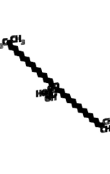 CC(C)CCCCCCCCCCCCCCCOCCCCCCCCCCCCCCCC(C)C.O=P(O)(O)O